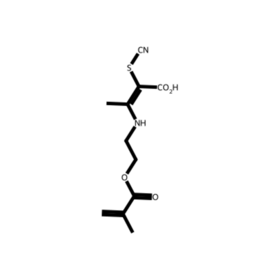 C=C(C)C(=O)OCCN/C(C)=C(/SC#N)C(=O)O